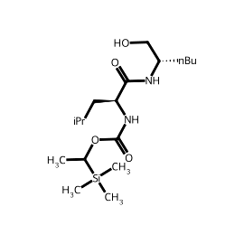 CCCC[C@@H](CO)NC(=O)[C@H](CC(C)C)NC(=O)OC(C)[Si](C)(C)C